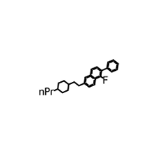 CCCC1CCC(CCc2ccc3c(F)c(-c4ccccc4)ccc3c2)CC1